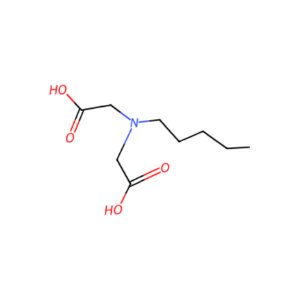 CCCCCN(CC(=O)O)CC(=O)O